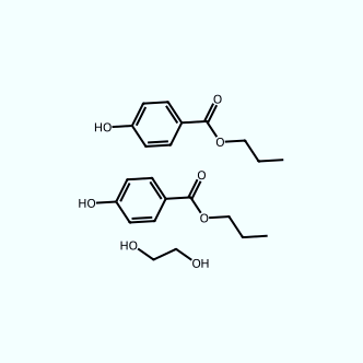 CCCOC(=O)c1ccc(O)cc1.CCCOC(=O)c1ccc(O)cc1.OCCO